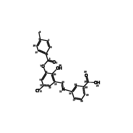 Cc1ccc(C(=O)Oc2cc(Cl)cc(C=Nc3cccc(C(=O)O)c3)c2O)cc1